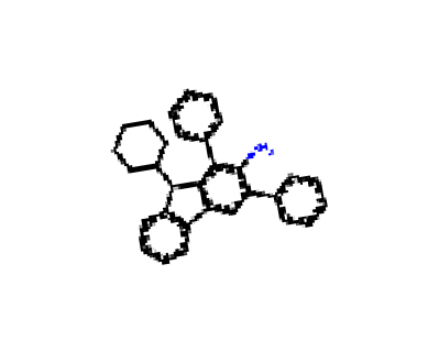 Nc1c(-c2ccccc2)cc2c(c1-c1ccccc1)C(C1CCCCC1)c1ccccc1-2